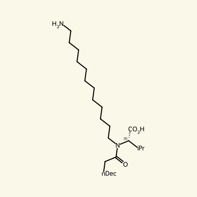 CCCCCCCCCCCC(=O)N(CCCCCCCCCCCCN)[C@H](C(=O)O)C(C)C